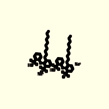 CCCCCCCCCCc1cccc(S(=O)(=O)[O-])c1Oc1ccccc1S(=O)(=O)O.CCCCCCCCCCc1cccc(S(=O)(=O)[O-])c1Oc1ccccc1S(=O)(=O)O.[Na+].[Na+]